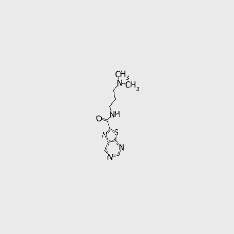 CN(C)CCCNC(=O)c1nc2cncnc2s1